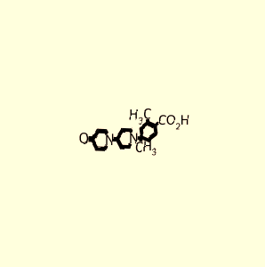 CC1=C(C(=O)O)C=CC(C)(N2CCC(N3CCC(=O)CC3)CC2)C1